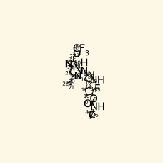 O=C(NC12CC(C1)C2)O[C@H]1CC[C@@H](c2cc(Nc3nc(C4CC4)cc4nc(COC(F)(F)F)cn34)n[nH]2)[C@@H]1F